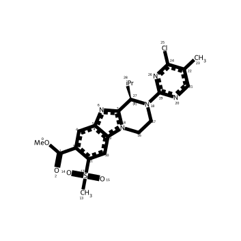 COC(=O)c1cc2nc3n(c2cc1S(C)(=O)=O)CCN(c1ncc(C)c(Cl)n1)[C@@H]3C(C)C